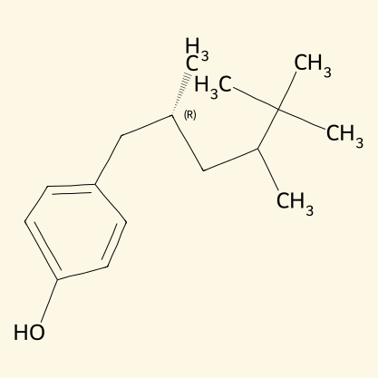 CC(C[C@@H](C)Cc1ccc(O)cc1)C(C)(C)C